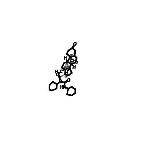 C[C@]12CC[C@H]3[C@@H](CCC4=CC(=O)CC[C@@]43C)[C@@H]1CC[C@@H]2C(=O)N(C(=O)NC1CCCCC1)C1CCCCC1